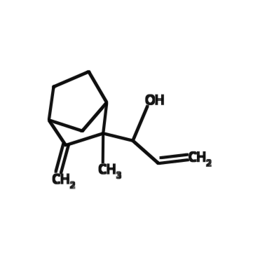 C=CC(O)C1(C)C(=C)C2CCC1C2